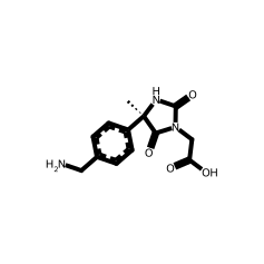 C[C@]1(c2ccc(CN)cc2)NC(=O)N(CC(=O)O)C1=O